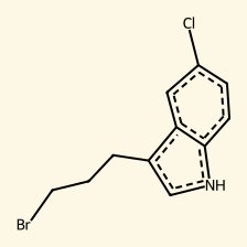 Clc1ccc2[nH]cc(CCCBr)c2c1